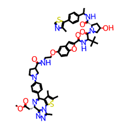 COC(=O)C[C@@H]1N=C(c2ccc(N3CCC(C(=O)NCCOc4ccc5oc(C(=O)NC(C(=O)N6C[C@H](O)C[C@H]6C(=O)NC(C)c6ccc(-c7scnc7C)cc6)C(C)(C)C)cc5c4)C3)cc2)c2c(sc(C)c2C)-n2c(C)nnc21